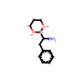 NC(Cc1ccccc1)B1OCCCO1